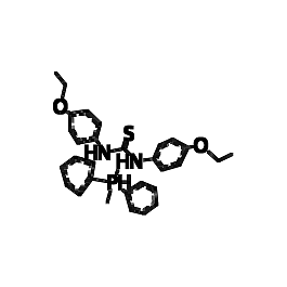 CCOc1ccc(NC(=S)Nc2ccc(OCC)cc2)cc1.C[PH](C)(c1ccccc1)c1ccccc1